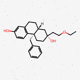 CCOCC[C@@]1(O)CC[C@@]2(Cc3ccccc3)c3ccc(O)cc3CC[C@@H]2C1